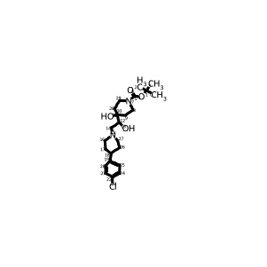 CC(C)(C)OC(=O)N1CCC(O)(C(O)CN2CCC(c3ccc(Cl)cc3)CC2)CC1